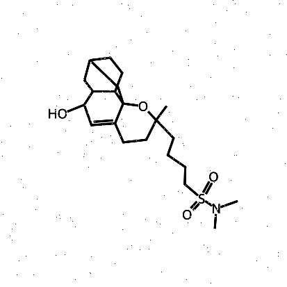 CN(C)S(=O)(=O)CCCCC1(C)CCC2=CC(O)C3CC4CCC3C2(C4)O1